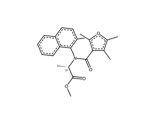 COC(=O)[C@H](C)N(C(=O)c1c(C)oc(C)c1C)c1c(C)ccc2ccccc12